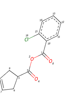 O=C(OC(=O)C1CC=CC1)c1ccccc1Cl